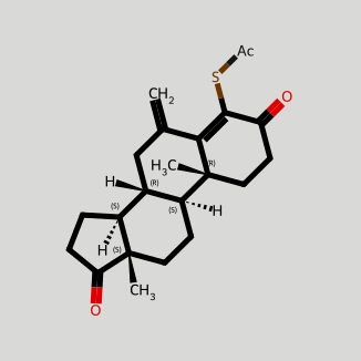 C=C1C[C@@H]2[C@H](CC[C@]3(C)C(=O)CC[C@@H]23)[C@@]2(C)CCC(=O)C(SC(C)=O)=C12